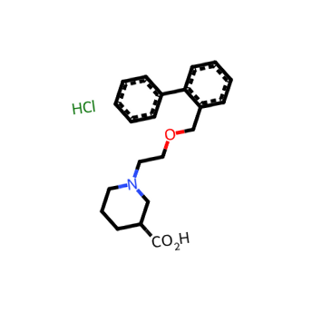 Cl.O=C(O)C1CCCN(CCOCc2ccccc2-c2ccccc2)C1